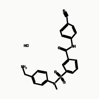 CN(c1ccc(CN)cc1)S(=O)(=O)c1cccc(C(=O)Nc2ccc(C#N)cc2)c1.Cl